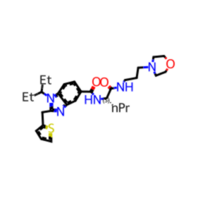 CCC[C@H](NC(=O)c1ccc2c(c1)nc(Cc1cccs1)n2C(CC)CC)C(=O)NCCCN1CCOCC1